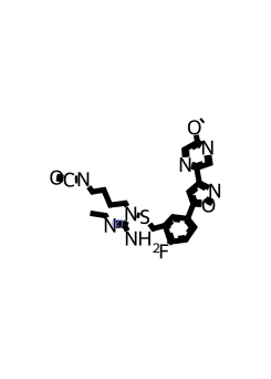 CC/N=C(/N)N(CCCCN=C=O)SCc1cc(-c2cc(-c3cnc(OC)cn3)no2)ccc1F